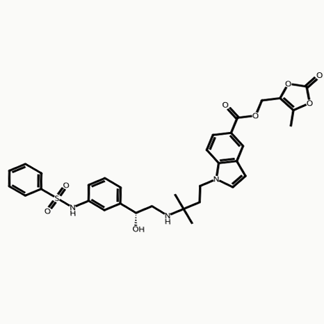 Cc1oc(=O)oc1COC(=O)c1ccc2c(ccn2CCC(C)(C)NC[C@H](O)c2cccc(NS(=O)(=O)c3ccccc3)c2)c1